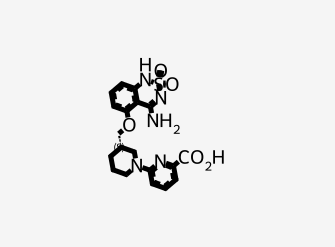 NC1=NS(=O)(=O)Nc2cccc(OC[C@H]3CCCN(c4cccc(C(=O)O)n4)C3)c21